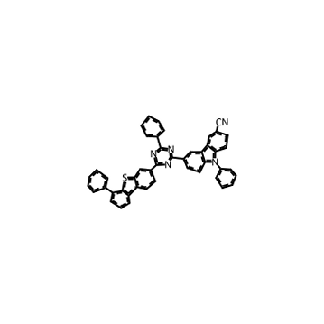 N#Cc1ccc2c(c1)c1cc(-c3nc(-c4ccccc4)nc(-c4ccc5c(c4)sc4c(-c6ccccc6)cccc45)n3)ccc1n2-c1ccccc1